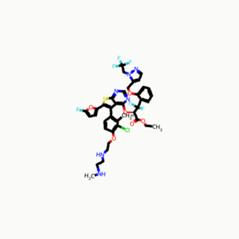 CCOC(=O)[C@@H](Oc1ncnc2sc(-c3ccc(F)o3)c(-c3ccc(OCCNCCNC)c(Cl)c3C)c12)C(F)(F)c1ccccc1OCc1ccnn1CC(F)(F)F